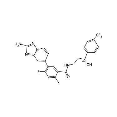 Cc1cc(F)c(-c2ccn3nc(N)nc3c2)cc1C(=O)NCC[C@@H](O)c1ccc(C(F)(F)F)cc1